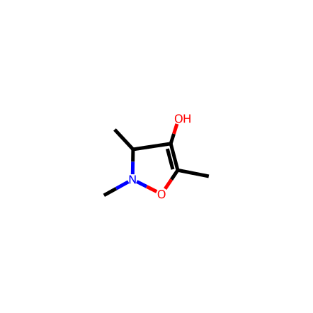 CC1=C(O)C(C)N(C)O1